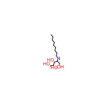 CCCCCCCCCN=C(CO)[C@@H](O)[C@H](O)[C@H](C)O